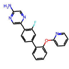 Nc1cnc(-c2ccc(-c3ccccc3Oc3ccccn3)cc2F)cn1